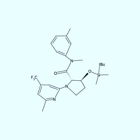 Cc1cccc(N(C)C(=O)[C@@H]2[C@@H](O[Si](C)(C)C(C)(C)C)CCN2c2cc(C(F)(F)F)cc(C)n2)c1